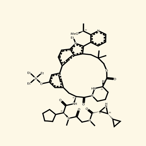 CCn1c(-c2cccnc2[C@H](C)OC)c2c3cc(ccc31)-c1cc(cc(O[Si](CC)(CC)CC)c1)C[C@H](NC(=O)[C@H](C1CCCC1)N(C)C(=O)CN(C)C(=O)[C@@H]1N[C@@H]1C1CC1)C(=O)N1CCC[C@H](N1)C(=O)OCC(C)(C)C2